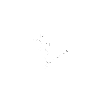 CCCCC(=O)O.NC([O-])=S.NC([O-])=S.[K+].[K+]